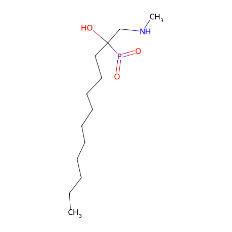 CCCCCCCCCCC(O)(CNC)P(=O)=O